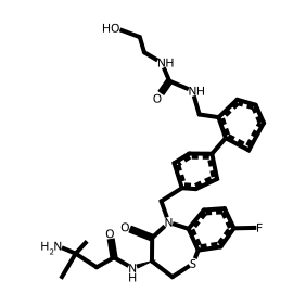 CC(C)(N)CC(=O)N[C@@H]1CSc2cc(F)ccc2N(Cc2ccc(-c3ccccc3CNC(=O)NCCO)cc2)C1=O